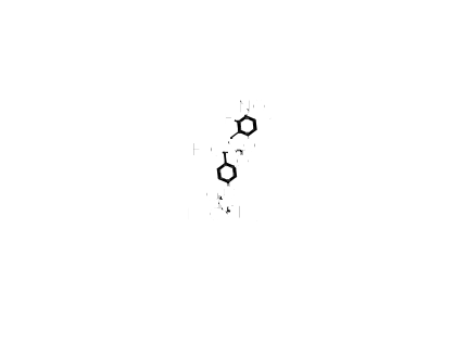 CN(C)C(=O)Oc1ccc2c(c1)OC(=O)N(Cc1cccc([N+](=O)[O-])c1F)C2C(F)(F)F